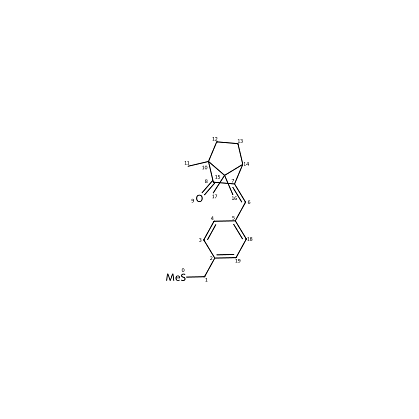 CSCc1ccc(/C=C2\C(=O)C3(C)CCC2C3(C)C)cc1